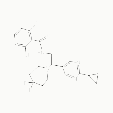 O=C(NCC(c1cnc(C2CC2)nc1)N1CCC(F)(F)CC1)c1c(Cl)cccc1Cl